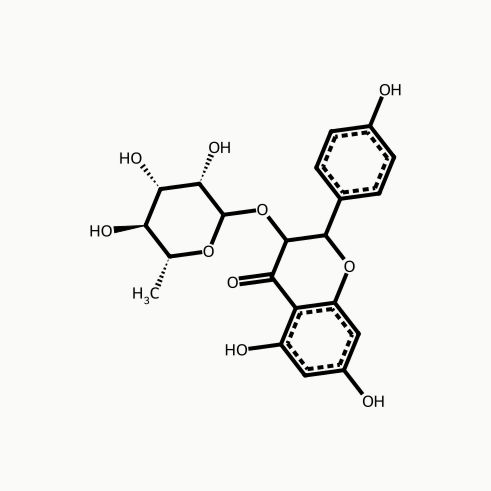 C[C@H]1OC(OC2C(=O)c3c(O)cc(O)cc3OC2c2ccc(O)cc2)[C@@H](O)[C@@H](O)[C@@H]1O